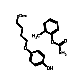 CCCCCCCCCCCCCCOc1ccc(O)cc1.Cc1ccccc1OC(N)=O